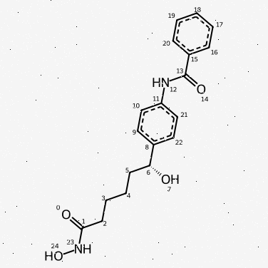 O=C(CCCC[C@@H](O)c1ccc(NC(=O)c2ccccc2)cc1)NO